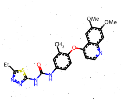 CCc1nnc(NC(=O)Nc2ccc(Oc3ccnc4cc(OC)c(OC)cc34)c(C)c2)s1